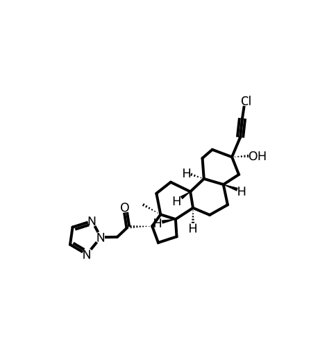 C[C@]12CC[C@H]3[C@@H](CC[C@H]4C[C@](O)(C#CCl)CC[C@@H]43)[C@@H]1CC[C@@H]2C(=O)Cn1nccn1